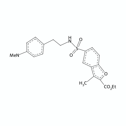 CCOC(=O)c1oc2ccc(S(=O)(=O)NCCc3ccc(NC)cc3)cc2c1C